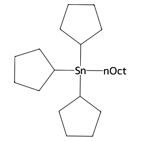 CCCCCCC[CH2][Sn]([CH]1CCCC1)([CH]1CCCC1)[CH]1CCCC1